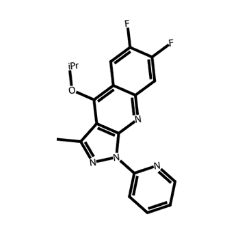 Cc1nn(-c2ccccn2)c2nc3cc(F)c(F)cc3c(OC(C)C)c12